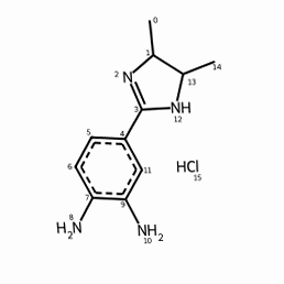 CC1N=C(c2ccc(N)c(N)c2)NC1C.Cl